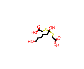 O=C(O)CSC(O)(CCCCCO)SCC(=O)O